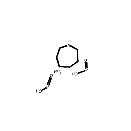 C1CCCNCC1.N.O=PO.O=PO